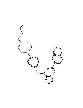 FCCCN1CCN(c2ccc(Nc3nc(-c4ccc5cn[nH]c5c4)cn4ccnc34)cc2)CC1